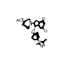 Cc1nnc(C)n1-c1ccc(O[C@H]2c3cc(Cl)cc(Cl)c3C[C@@H]2N2CC[C@@H](O)C2)cc1